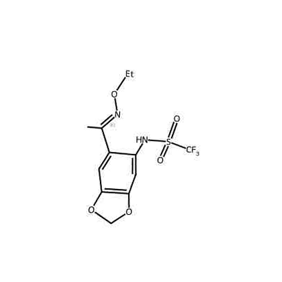 CCO/N=C(\C)c1cc2c(cc1NS(=O)(=O)C(F)(F)F)OCO2